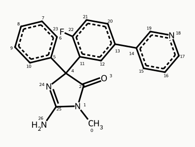 CN1C(=O)C(c2ccccc2)(c2cc(-c3cccnc3)ccc2F)N=C1N